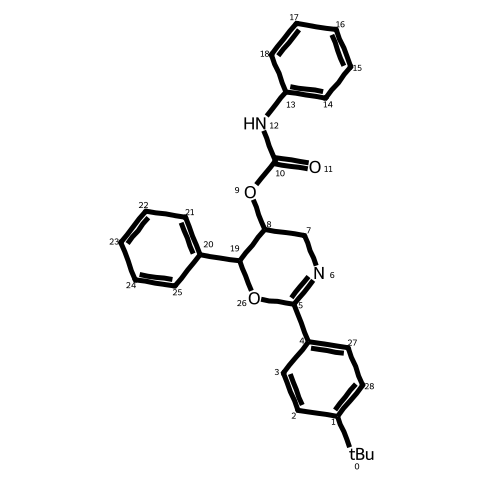 CC(C)(C)c1ccc(C2=NCC(OC(=O)Nc3ccccc3)C(c3ccccc3)O2)cc1